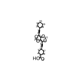 O=C(O)C1CCC(C#CC2OCOC3C(C#CC4CCCCC4)OCOC23)CC1